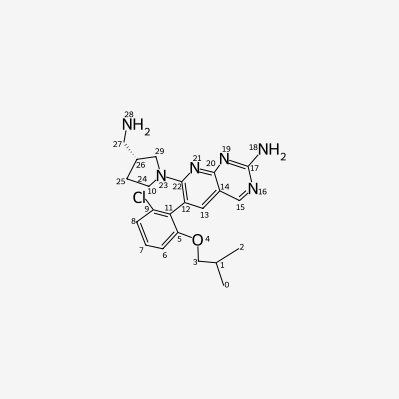 CC(C)COc1cccc(Cl)c1-c1cc2cnc(N)nc2nc1N1CC[C@H](CN)C1